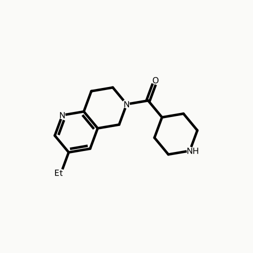 CCc1cnc2c(c1)CN(C(=O)C1CCNCC1)CC2